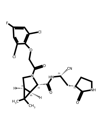 CC1(C)[C@@H]2[C@@H](C(=O)N[C@H](C#N)C[C@@H]3CCNC3=O)N(C(=O)COc3c(Cl)cc(F)cc3Cl)C[C@@H]21